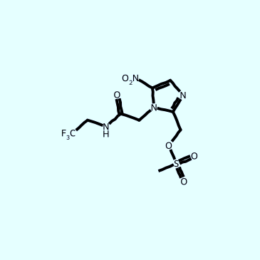 CS(=O)(=O)OCc1ncc([N+](=O)[O-])n1CC(=O)NCC(F)(F)F